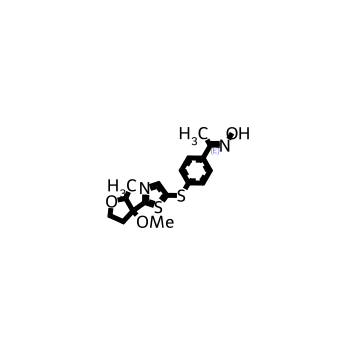 COC1(c2ncc(Sc3ccc(/C(C)=N/O)cc3)s2)CCOC1C